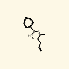 C=CCCC(C)SB(PC)c1ccccc1